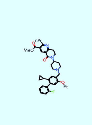 CCCc1nc2c(cc1C(=O)OC)C(=O)N(C1CCN(Cc3cc(C4CC4)c(-c4ccccc4F)cc3OCC)CC1)CC2